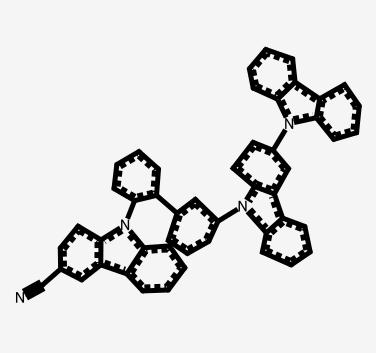 N#Cc1ccc2c(c1)c1ccccc1n2-c1ccccc1-c1cccc(-n2c3ccccc3c3cc(-n4c5ccccc5c5ccccc54)ccc32)c1